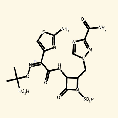 CC(C)(O/N=C(\C(=O)NC1C(=O)N(S(=O)(=O)O)C1Cn1cnc(C(N)=O)n1)c1csc(N)n1)C(=O)O